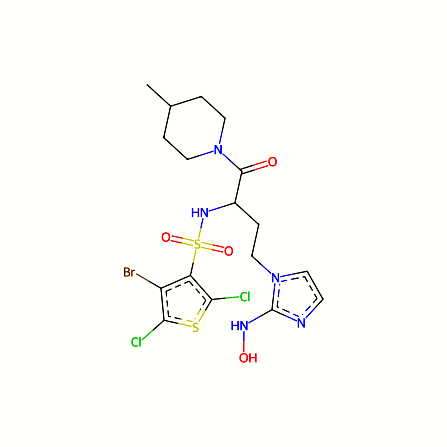 CC1CCN(C(=O)C(CCn2ccnc2NO)NS(=O)(=O)c2c(Cl)sc(Cl)c2Br)CC1